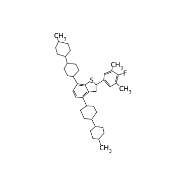 Cc1cc(-c2cc3c(C4CCC(C5CCC(C)CC5)CC4)ccc(C4CCC(C5CCC(C)CC5)CC4)c3s2)cc(C)c1F